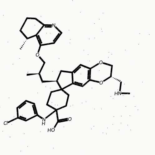 CNC[C@H]1COc2cc3c(cc2O1)C1(CCC(Nc2cccc(Cl)c2)(C(=O)O)CC1)[C@@H](C[C@@H](C)COc1ccnc2c1[C@H](C)CCC2)C3